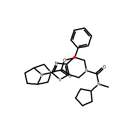 CN(C(=O)N1CCc2nc(N3C4CCC3CN(C(=O)OCc3ccccc3)C4)sc2C1)C1CCCC1